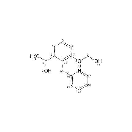 CC(O)c1cccc(OCO)c1Cc1ccccn1